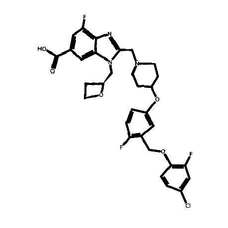 O=C(O)c1cc(F)c2nc(CN3CCC(Oc4ccc(F)c(COc5ccc(Cl)cc5F)c4)CC3)n(C[C@@H]3CCO3)c2c1